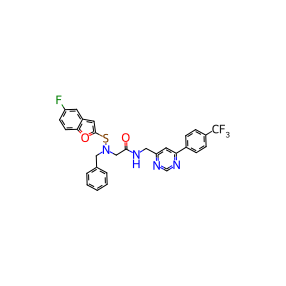 O=C(CN(Cc1ccccc1)Sc1cc2cc(F)ccc2o1)NCc1cc(-c2ccc(C(F)(F)F)cc2)ncn1